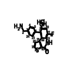 Cl.NCc1ccc(-c2c(O)cc(F)c3[nH]c(=O)c4sccc4c23)cc1